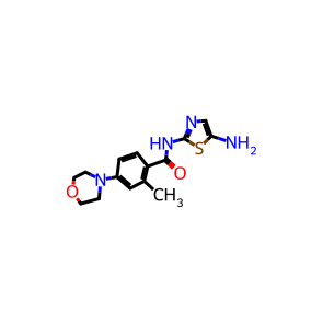 Cc1cc(N2CCOCC2)ccc1C(=O)Nc1ncc(N)s1